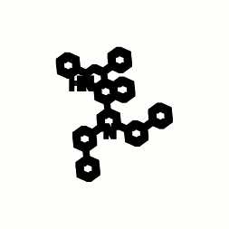 C1=C(c2ccccc2)c2c(cc(-c3cc(-c4cccc(-c5ccccc5)c4)nc(-c4cccc(-c5ccccc5)c4)c3)c3ccccc23)NC1c1ccccc1